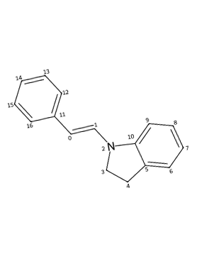 C(=C\N1CCc2ccccc21)/c1ccccc1